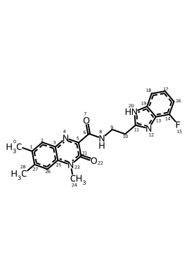 Cc1cc2nc(C(=O)NCCc3nc4c(F)cccc4[nH]3)c(=O)n(C)c2cc1C